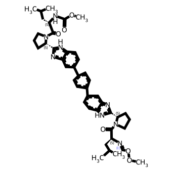 COO/C=N/[C@@H](CC(C)C)C(=O)N1CCC[C@H]1c1nc2cc(-c3ccc(-c4ccc5[nH]c([C@@H]6CCCN6C(=O)[C@H](CC(C)C)NC(=O)OC)nc5c4)cc3)ccc2[nH]1